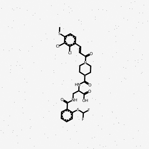 CSc1ccc(C=CC(=O)N2CCC(C(=O)NC(CNC(=O)c3ccccc3SC(F)F)C(=O)O)CC2)c(Cl)c1Cl